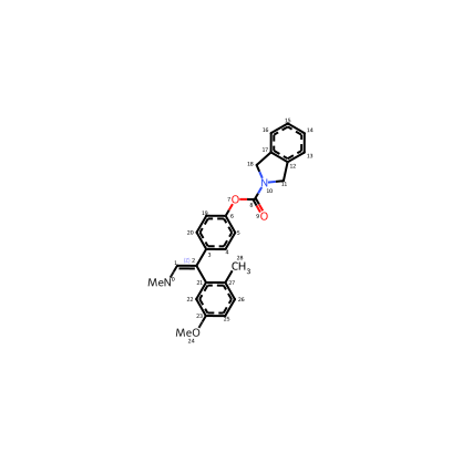 CN/C=C(/c1ccc(OC(=O)N2Cc3ccccc3C2)cc1)c1cc(OC)ccc1C